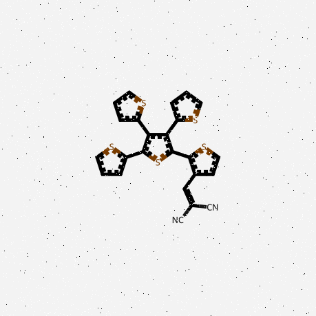 N#CC(C#N)=Cc1ccsc1-c1sc(-c2cccs2)c(-c2cccs2)c1-c1cccs1